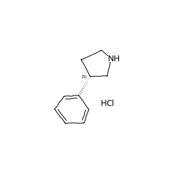 Cl.c1ccc([C@@H]2CCNC2)cc1